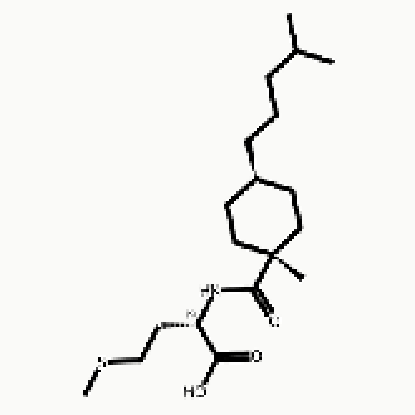 CSCC[C@H](NC(=O)[C@]1(C)CC[C@@H](CCCC(C)C)CC1)C(=O)O